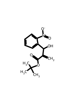 C=C(C(=O)OC(C)(C)C)C(O)c1ccccc1[N+](=O)[O-]